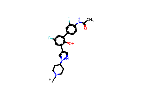 CC(=O)Nc1ccc(-c2cc(F)cc(-c3cnn(C4CCN(C)CC4)c3)c2O)cc1F